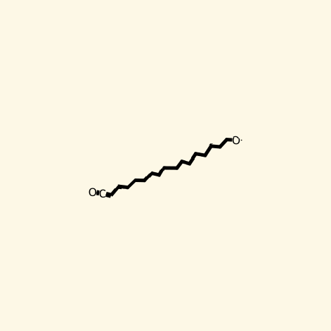 [O]CCCCCCCCCCCCCCCC=C=O